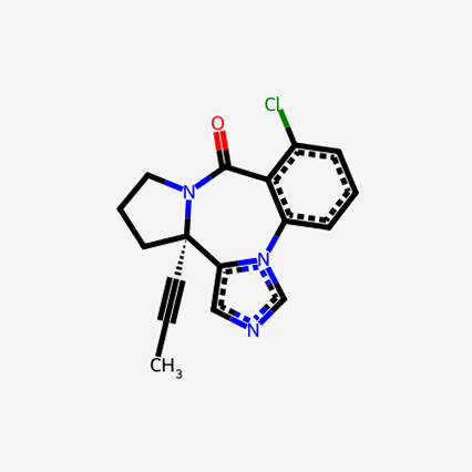 CC#C[C@]12CCCN1C(=O)c1c(Cl)cccc1-n1cncc12